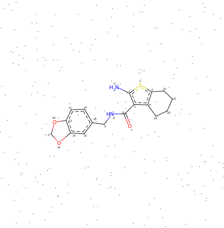 Nc1sc2c(c1C(=O)NCc1ccc3c(c1)OCO3)CCCC2